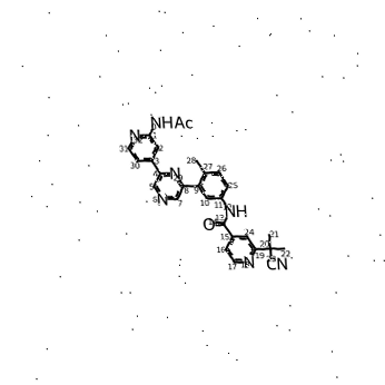 CC(=O)Nc1cc(-c2cncc(-c3cc(NC(=O)c4ccnc(C(C)(C)C#N)c4)ccc3C)n2)ccn1